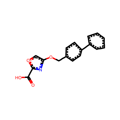 O=C(O)c1nc(OCc2ccc(-c3ccccc3)cc2)co1